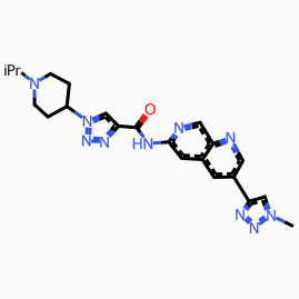 CC(C)N1CCC(n2cc(C(=O)Nc3cc4cc(-c5cn(C)nn5)cnc4cn3)nn2)CC1